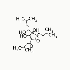 CC(C)CCC(O)[C@]1(O)C(O)=C(C(=O)CC(C)C)C(=O)[C@@H]1CCC(C)C